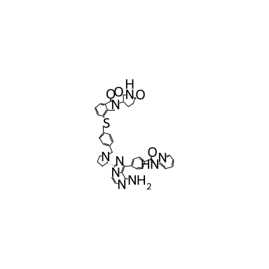 Nc1nccn2c([C@@H]3CCCN3Cc3ccc(CSc4cccc5c4CN(C4CCC(=O)NC4=O)C5=O)cc3)nc(-c3ccc(C(=O)Nc4ccccn4)cc3)c12